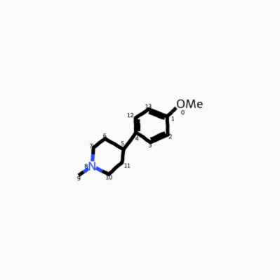 COc1ccc(C2CCN(C)CC2)cc1